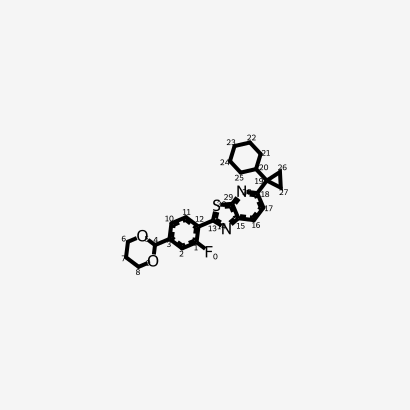 Fc1cc(C2OCCCO2)ccc1-c1nc2ccc(C3(C4CCCCC4)CC3)nc2s1